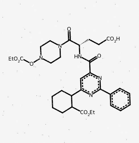 CCOC(=O)ON1CCN(C(=O)[C@H](CCC(=O)O)NC(=O)c2cc(C3CCCCC3C(=O)OCC)nc(-c3ccccc3)n2)CC1